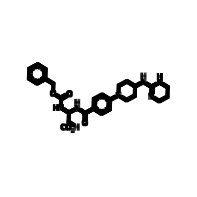 O=C(O)CC(NC(=O)OCc1ccccc1)NC(=O)c1ccc(N2CCC(NC3=NCCCN3)CC2)cc1